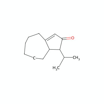 CC(C)C1C(=O)C=C2CCCCCCC21